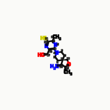 Cc1nc(N2CCC3(CC2)CO[C@@H](C)[C@H]3N)c(CO)nc1S